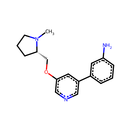 CN1CCC[C@H]1COc1cncc(-c2cccc(N)c2)c1